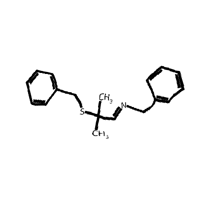 CC(C)(C=NCc1ccccc1)SCc1ccccc1